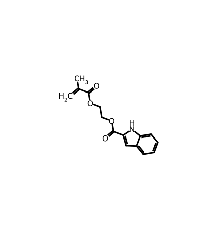 C=C(C)C(=O)OCCOC(=O)c1cc2ccccc2[nH]1